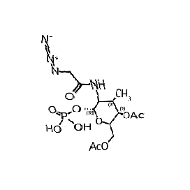 CC(=O)OCC1O[C@H](OP(=O)(O)O)C(NC(=O)CN=[N+]=[N-])[C@@H](C)[C@H]1OC(C)=O